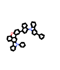 c1ccc(-c2ccc3c(c2)c2ccccc2n3-c2ccc(-c3ccc4c(c3)-c3cc5c(c6cccc(c36)O4)c3ccccc3n5-c3ccccc3)c3ccccc23)cc1